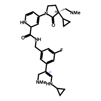 CNC/C(=C\NC1CC1)c1cc(F)cc(CNC(=O)C2C=C(N3CC[C@@](CNC)(C4CC4)C3=O)C=CN2)c1